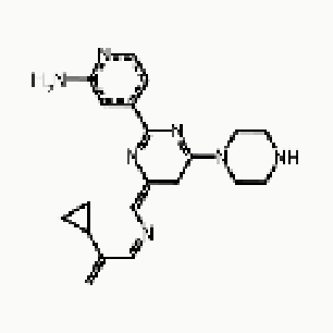 C=C(/C=N\C=C1/CC(N2CCNCC2)=NC(c2ccnc(N)c2)=N1)C1CC1